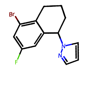 Fc1cc(Br)c2c(c1)C(n1cccn1)CCC2